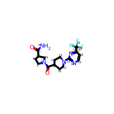 NC(=O)C1CCN(C(=O)C2CCN(c3nccc(C(F)(F)F)n3)CC2)C1